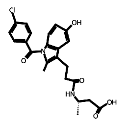 Cc1c(CCC(=O)N[C@@H](C)CC(=O)O)c2cc(O)ccc2n1C(=O)c1ccc(Cl)cc1